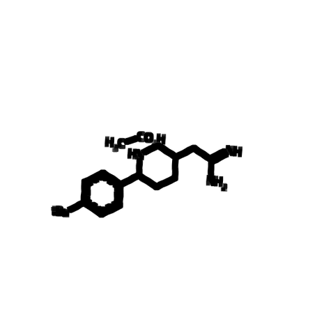 CC(=O)O.CC(C)(C)c1ccc(C2CCC(CC(=N)N)CN2)cc1